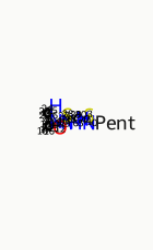 CCCC(C)NC(=S)N1CCC(c2nc(C(=O)Nc3ccc(C)cc3-c3ccccc3)cs2)CC1